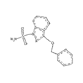 NS(=O)(=O)n1nc(OCc2ccccc2)c2ccccc21